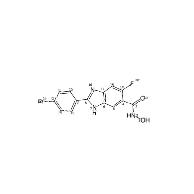 O=C(NO)c1cc2[nH]c(-c3ccc(Br)cc3)nc2cc1F